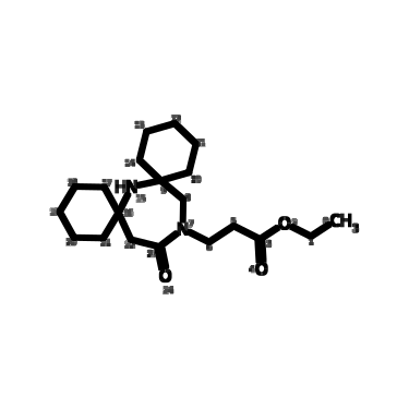 CCOC(=O)CCN1CC2(CCCCC2)NC2(CCCCC2)CC1=O